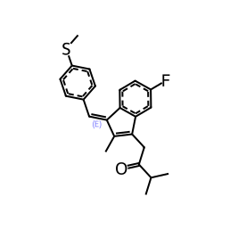 CSc1ccc(/C=C2/C(C)=C(CC(=O)C(C)C)c3cc(F)ccc32)cc1